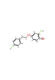 Fc1ccc(CCOc2ccc(Br)c(F)c2)cc1